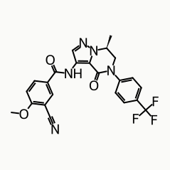 COc1ccc(C(=O)Nc2cnn3c2C(=O)N(c2ccc(C(F)(F)F)cc2)C[C@@H]3C)cc1C#N